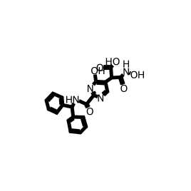 O=C(NC(c1ccccc1)c1ccccc1)c1ncc(C(C(=O)O)C(=O)NO)c(O)n1